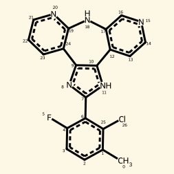 Cc1ccc(F)c(-c2nc3c([nH]2)-c2ccncc2Nc2ncccc2-3)c1Cl